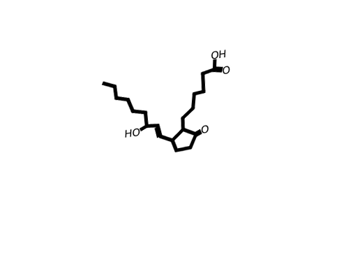 CCCCCCC(O)C=CC1CCC(=O)C1CCCCCC(=O)O